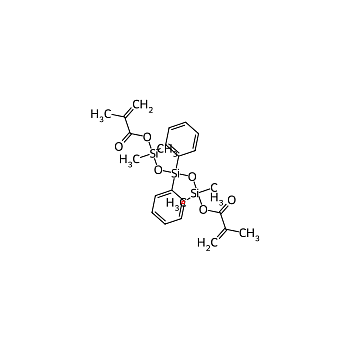 C=C(C)C(=O)O[Si](C)(C)O[Si](O[Si](C)(C)OC(=O)C(=C)C)(c1ccccc1)c1ccccc1